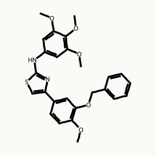 COc1ccc(-c2csc(Nc3cc(OC)c(OC)c(OC)c3)n2)cc1OCc1ccccc1